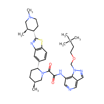 C[C@H]1CC[C@H](c2ccc3sc([C@H]4CCN(C)C[C@@H]4C)nc3c2)N(C(=O)C(=O)Nc2cncc3cnn(COCC[Si](C)(C)C)c23)C1